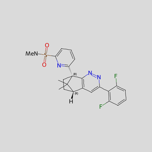 CNS(=O)(=O)c1cccc([C@]23CC[C@@H](c4cc(-c5c(F)cccc5F)nnc42)C3(C)C)n1